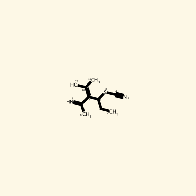 CCC(SC#N)/C(C(C)=N)=C(\C)O